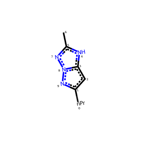 CCCc1cc2[nH]c(C)nn2n1